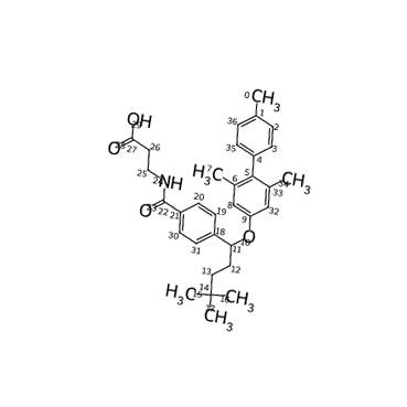 Cc1ccc(-c2c(C)cc(OC(CCC(C)(C)C)c3ccc(C(=O)NCCC(=O)O)cc3)cc2C)cc1